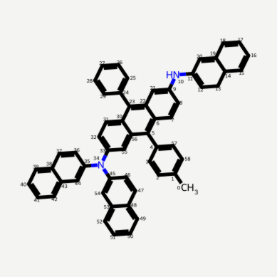 Cc1ccc(-c2c3ccc(NC4=CCC5C=CC=CC5=C4)cc3c(-c3ccccc3)c3ccc(N(c4ccc5ccccc5c4)c4ccc5ccccc5c4)cc23)cc1